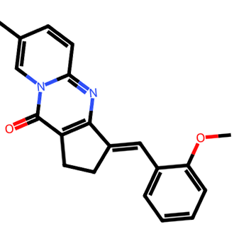 COc1ccccc1C=C1CCc2c1nc1ccc(C)cn1c2=O